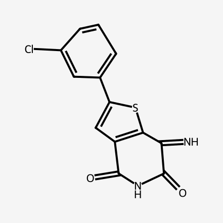 N=C1C(=O)NC(=O)c2cc(-c3cccc(Cl)c3)sc21